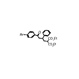 CCOC(=O)C(CC(CC(=O)c1ccc(Br)cc1)c1ccccc1)C(=O)OCC